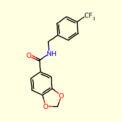 O=C(NCc1ccc(C(F)(F)F)cc1)c1ccc2c(c1)OCO2